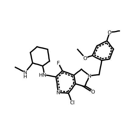 CNC1CCCCC1Nc1nc(Cl)c2c(c1F)CN(Cc1ccc(OC)cc1OC)C2=O